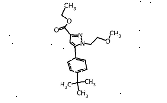 CCOC(=O)c1cc(-c2ccc(C(C)(C)C)cc2)n(CCOC)n1